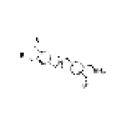 BCc1cc2c(cc1CBr)C[N+]1(C2)Cc2cc(CBr)c(CBr)cc2C1